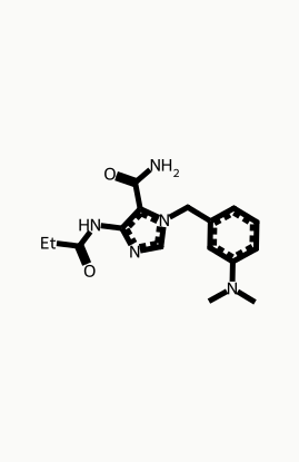 CCC(=O)Nc1ncn(Cc2cccc(N(C)C)c2)c1C(N)=O